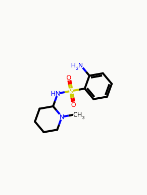 CN1CCCCC1NS(=O)(=O)c1ccccc1N